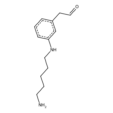 NCCCCCNc1cccc(CC=O)c1